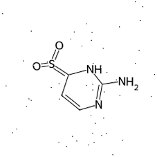 Nc1nccc(=S(=O)=O)[nH]1